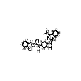 CN(C)c1nc(NC2CCC(NC(=O)OCc3ccccc3Cl)CC2)nc2ccccc12